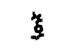 CC(NC[C@H]1CC[C@H](NC(=O)O)CC1)C(F)F